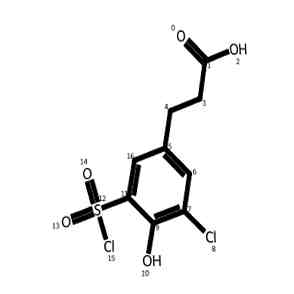 O=C(O)CCc1cc(Cl)c(O)c(S(=O)(=O)Cl)c1